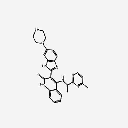 Cc1ccnc(C(C)Nc2c(-c3nc4ccc(N5CCOCC5)cc4[nH]3)c(=O)[nH]c3ccccc23)n1